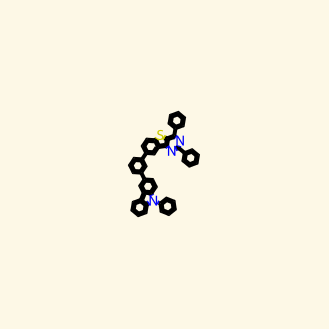 c1ccc(-c2nc(-c3ccccc3)c3sc4ccc(-c5cccc(-c6ccc7c(c6)c6ccccc6n7-c6ccccc6)c5)cc4c3n2)cc1